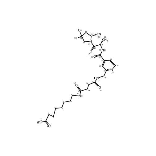 CC(C)C(=O)CCCCCCCNC(=O)CCC(=O)NCc1cc(C(=O)N[C@H](C)C(=O)N2CC(F)(F)C[C@H]2C#N)ccn1